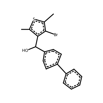 Cc1sc(C)c(C(O)c2ccc(-c3ccccc3)cc2)c1Br